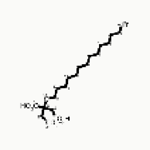 CC(C)CCCCCCCCCCCCCOC(CC(=O)O)(CC(=O)O)C(=O)O